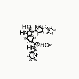 CCN(CC)Cc1ccc(-c2c(O)[nH]c3ccc(C(=O)NCc4ccccn4)cc23)nc1.Cl